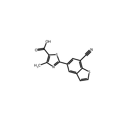 Cc1nc(-c2cc(C#N)c3sccc3c2)sc1C(=O)O